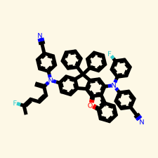 C=C(/C=C\C=C(/C)F)N(c1ccc(C#N)cc1)c1ccc2c(c1)C(c1ccccc1)(c1ccccc1)c1cc(N(c3ccc(C#N)cc3)c3cccc(F)c3)c3c(oc4ccccc43)c1-2